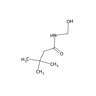 CC(C)(C)[CH]C(=O)NCO